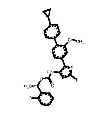 COc1cc(-c2sc(F)cc2NC(=O)O[C@H](C)c2ccccc2F)ccc1-c1ccc(C2CC2)cc1